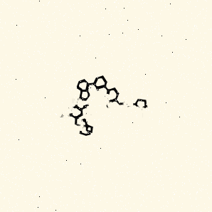 COc1nc(-c2cccc(-c3cccc4c3CC[C@@H]4Nc3nc(OC)c(CN4CCC5CC4(C(=O)O)C5)cc3C(F)(F)F)c2Cl)ccc1CNC[C@@H]1CCC(=O)N1